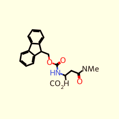 CNC(=O)CC(NC(=O)OCC1c2ccccc2-c2ccccc21)C(=O)O